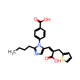 CCCCc1ncc(C=C(Cc2cccs2)C(=O)O)n1-c1ccc(C(=O)O)cc1